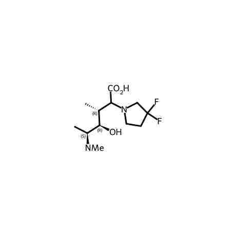 CN[C@@H](C)[C@H](O)[C@H](C)C(C(=O)O)N1CCC(F)(F)C1